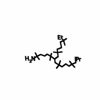 CCC(C)(C)CCCC(C)(C)CC(CC(C)(C)CCCC(C)(C)CC(C)C)C(C)(C)CCCC(C)(C)N